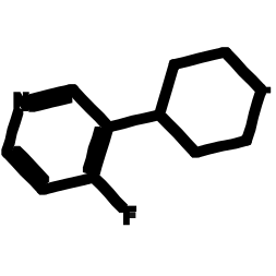 Fc1ccncc1C1CC[CH]CC1